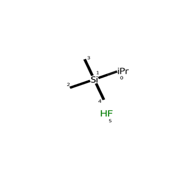 CC(C)[Si](C)(C)C.F